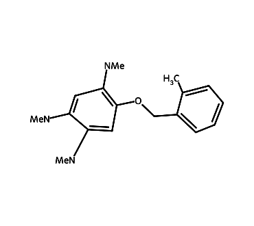 CNc1cc(NC)c(OCc2ccccc2C)cc1NC